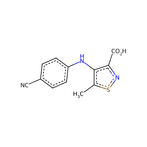 Cc1snc(C(=O)O)c1Nc1ccc(C#N)cc1